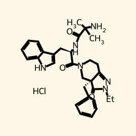 CCN1N=C2CCN(C(=O)[C@@H](Cc3c[nH]c4ccccc34)NC(=O)C(C)(C)N)C[C@]2(Cc2ccccc2)C1=O.Cl